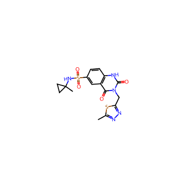 Cc1nnc(Cn2c(=O)[nH]c3ccc(S(=O)(=O)NC4(C)CC4)cc3c2=O)s1